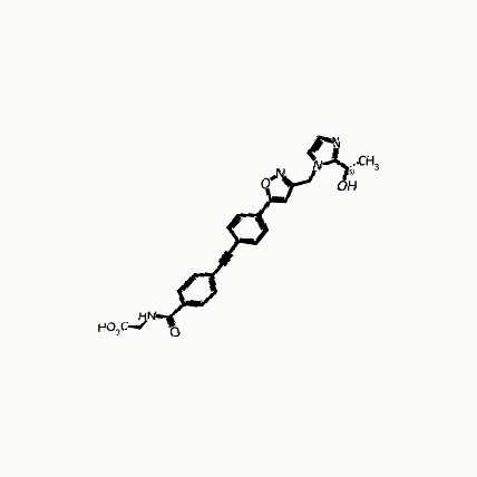 C[C@H](O)c1nccn1Cc1cc(-c2ccc(C#Cc3ccc(C(=O)NCC(=O)O)cc3)cc2)on1